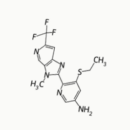 CCSc1cc(N)cnc1-c1nc2cc(C(F)(F)F)ncc2n1C